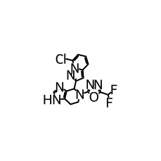 FC(F)c1nnc(N2CCc3[nH]cnc3C2c2cc3cccc(Cl)n3n2)o1